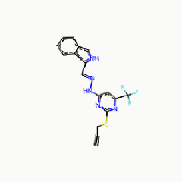 C#CCSc1nc(N/N=C/c2[nH]cc3ccccc23)cc(C(F)(F)F)n1